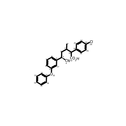 CC(C[C@@H](C#N)c1cccc(Oc2ccccc2)c1)C(C(=O)O)c1ccc(Cl)cc1